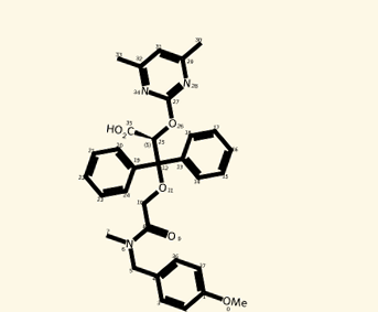 COc1ccc(CN(C)C(=O)COC(c2ccccc2)(c2ccccc2)[C@H](Oc2nc(C)cc(C)n2)C(=O)O)cc1